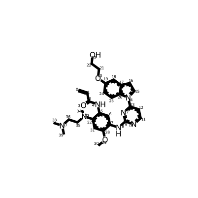 C=CC(=O)Nc1cc(Nc2nccc(-n3ccc4cc(OCCO)ccc43)n2)c(OC)cc1N(C)CCN(C)C